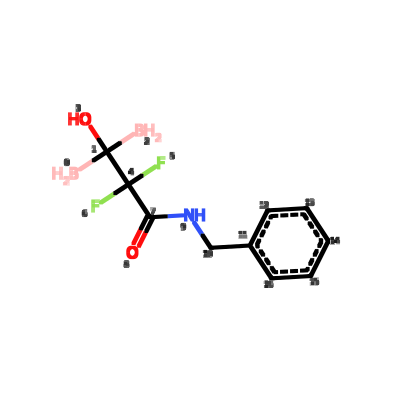 BC(B)(O)C(F)(F)C(=O)NCc1ccccc1